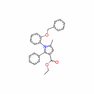 CCOC(=O)c1cc(C)n(-c2ccccc2OCc2ccccc2)c1-c1ccccc1